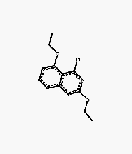 CCOc1nc(Cl)c2c(OCC)cccc2n1